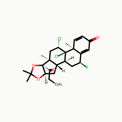 CC(=O)OCC(=O)[C@@]12OC(C)(C)O[C@@H]1C[C@H]1[C@@H]3C[C@H](F)C4=CC(=O)C=C[C@]4(C)[C@@]3(Cl)[C@@H](Cl)C[C@@]12C